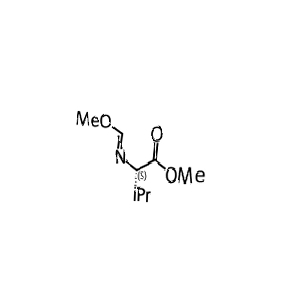 COC=N[C@H](C(=O)OC)C(C)C